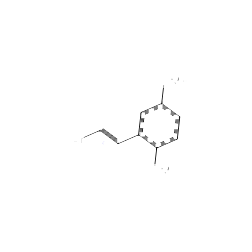 COc1ccc(OC)c(/C=C/C(C)(C)C)c1